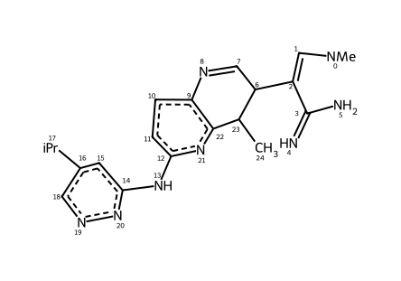 CN/C=C(\C(=N)N)C1C=Nc2ccc(Nc3cc(C(C)C)cnn3)nc2C1C